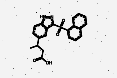 CC(CC(=O)O)c1ccc2[nH]nc(S(=O)(=O)c3cccc4ccccc34)c2c1